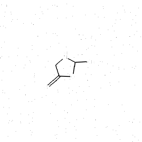 CC1NCC(=O)O1